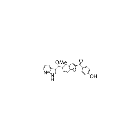 COC(c1ccc2oc(C(=O)c3ccc(O)cc3)cc2c1)c1c[nH]c2ncccc12